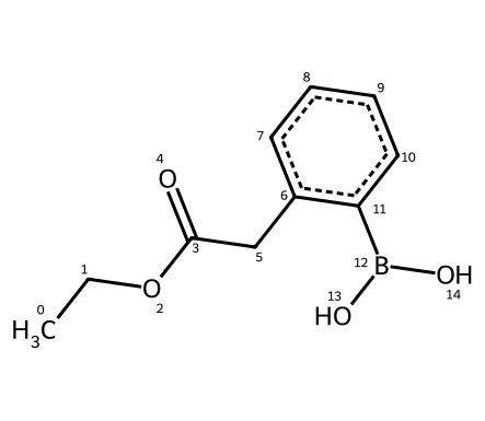 CCOC(=O)Cc1ccccc1B(O)O